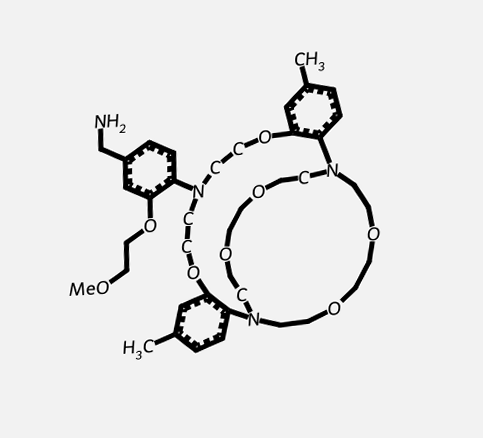 COCCOc1cc(CN)ccc1N1CCOc2cc(C)ccc2N2CCOCCOCCN(CCOCCOCC2)c2ccc(C)cc2OCC1